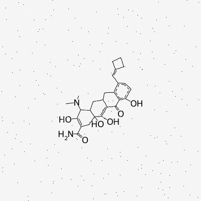 CN(C)C1C(O)=C(C(N)=O)CC2(O)C(O)=C3C(=O)c4c(O)ccc(C=C5CCC5)c4CC3CC12